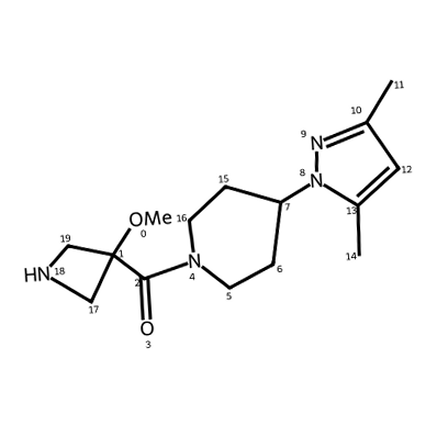 COC1(C(=O)N2CCC(n3nc(C)cc3C)CC2)CNC1